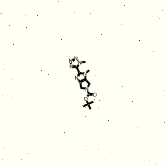 Cn1nnnc1-c1nc2c(n1C)CN(C(=O)OC(C)(C)C)C2